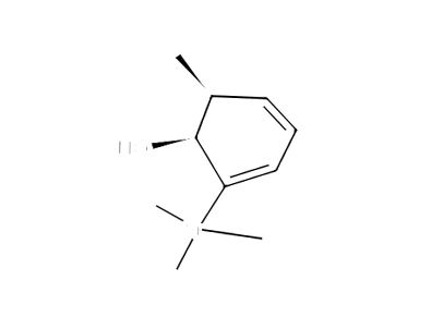 C[C@H]1C=CC=C([Si](C)(C)C)[C@H]1O